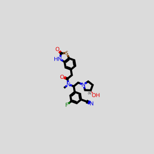 CN(C(=O)Cc1ccc2sc(=O)[nH]c2c1)C(CN1CC[C@H](O)C1)c1cc(F)cc(C#N)c1